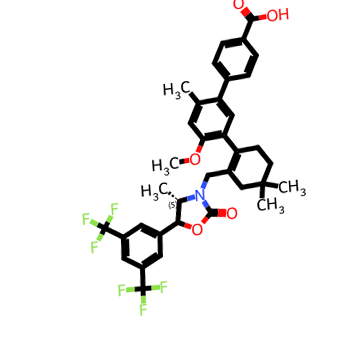 COc1cc(C)c(-c2ccc(C(=O)O)cc2)cc1C1=C(CN2C(=O)OC(c3cc(C(F)(F)F)cc(C(F)(F)F)c3)[C@@H]2C)CC(C)(C)CC1